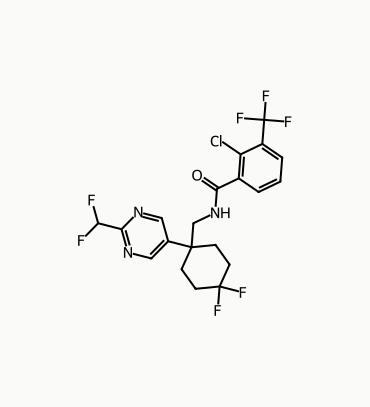 O=C(NCC1(c2cnc(C(F)F)nc2)CCC(F)(F)CC1)c1cccc(C(F)(F)F)c1Cl